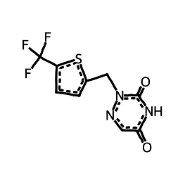 O=c1cnn(Cc2ccc(C(F)(F)F)s2)c(=O)[nH]1